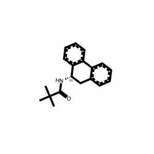 CC(C)(C)C(=O)N[C@H]1Cc2ccccc2-c2ccccc21